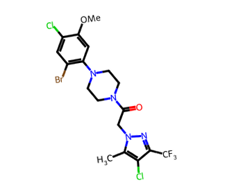 COc1cc(N2CCN(C(=O)Cn3nc(C(F)(F)F)c(Cl)c3C)CC2)c(Br)cc1Cl